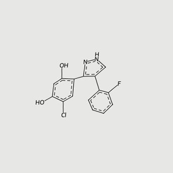 Oc1cc(O)c(-c2n[nH]cc2-c2ccccc2F)cc1Cl